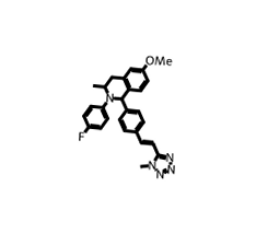 COc1ccc2c(c1)CC(C)N(c1ccc(F)cc1)C2c1ccc(/C=C/c2nnnn2C)cc1